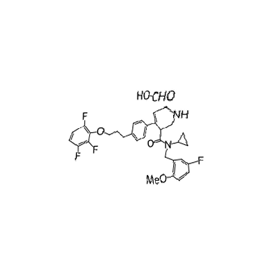 COc1ccc(F)cc1CN(C(=O)C1CNCC=C1c1ccc(CCCOc2c(F)ccc(F)c2F)cc1)C1CC1.O=CO